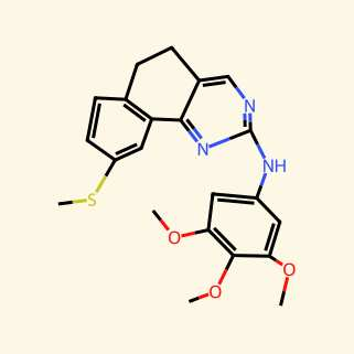 COc1cc(Nc2ncc3c(n2)-c2cc(SC)ccc2CC3)cc(OC)c1OC